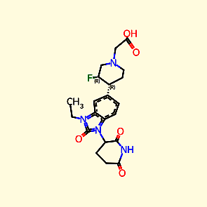 CCn1c(=O)n(C2CCC(=O)NC2=O)c2ccc([C@H]3CCN(CC(=O)O)C[C@@H]3F)cc21